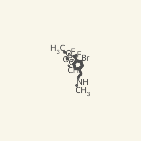 CCNCCc1ccc(C(F)(F)P(=O)(OCC)OCC)c(Br)c1